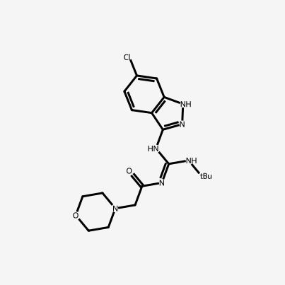 CC(C)(C)N/C(=N/C(=O)CN1CCOCC1)Nc1n[nH]c2cc(Cl)ccc12